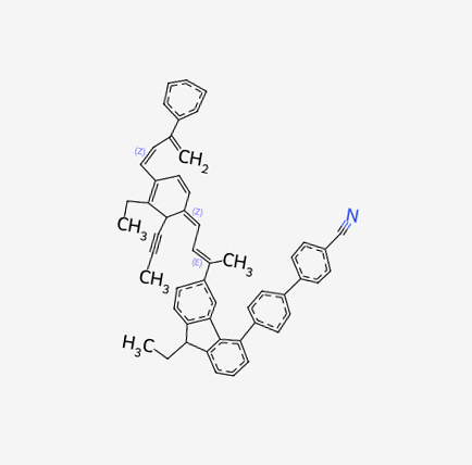 C=C(/C=C\C1=C(CC)C(C#CC)/C(=C\C=C(/C)c2ccc3c(c2)-c2c(-c4ccc(-c5ccc(C#N)cc5)cc4)cccc2C3CC)C=C1)c1ccccc1